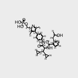 Cc1nn(COP(=O)(O)O)c(C)c1-c1ccc(NC(=O)[C@@H](NC(=O)c2ccnn2CC(C)O)C(C2CC2)C2CC2)cc1